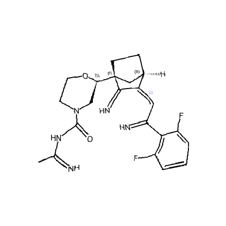 CC(=N)NC(=O)N1CCO[C@@H]([C@]23CC[C@H](C2)/C(=C/C(=N)c2c(F)cccc2F)C3=N)C1